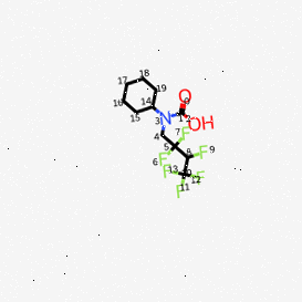 O=C(O)N(CC(F)(F)C(F)C(F)(F)F)C1CCCCC1